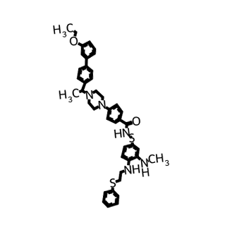 CCOc1cccc(-c2ccc(C(C)N3CCN(c4ccc(C(=O)NSc5ccc(NCCSc6ccccc6)c(NC)c5)cc4)CC3)cc2)c1